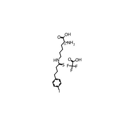 N[C@@H](CCCCNC(=S)CCCc1ccc(I)cc1)C(=O)O.O=C(O)C(F)(F)F